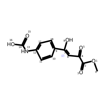 COC(=O)C(=O)/C=C(\O)c1ccc(NC(=O)O)cc1